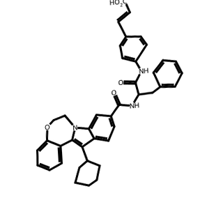 O=C(O)/C=C/c1ccc(NC(=O)C(Cc2ccccc2)NC(=O)c2ccc3c(C4CCCCC4)c4n(c3c2)CCOc2ccccc2-4)cc1